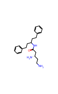 NCC[C@H](N)CC(=O)NC(CCc1ccccc1)CCc1ccccc1